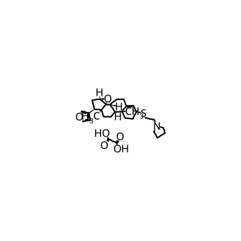 C[C@]12CC[C@H](SCCN3CCCC3)C=C1CC[C@@H]1[C@@H]2CC[C@]2(C)[C@@H](c3ccoc3)C[C@H]3O[C@]132.O=C(O)C(=O)O